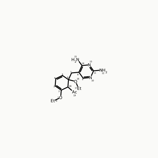 CCOC1=CC=CC(Cc2cnc(N)nc2N)(OCC)C1C(C)=O